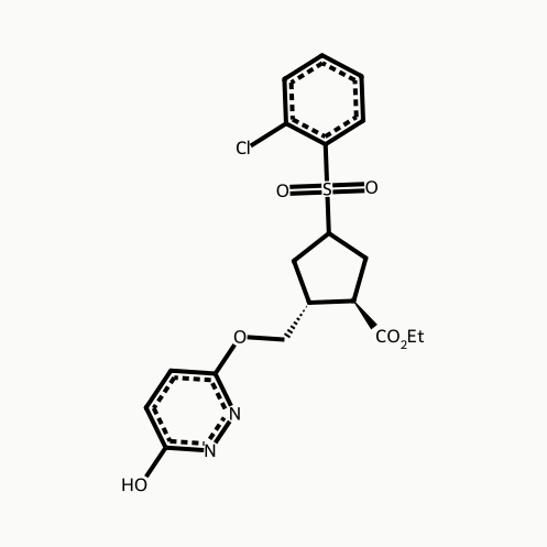 CCOC(=O)[C@@H]1CC(S(=O)(=O)c2ccccc2Cl)C[C@H]1COc1ccc(O)nn1